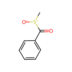 C[S+]([O-])C(=O)c1ccccc1